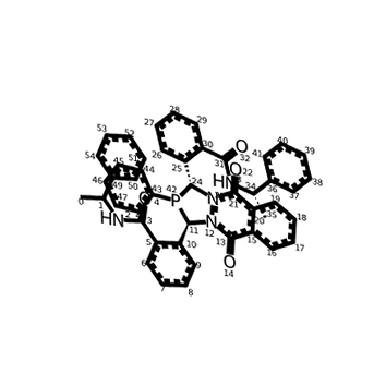 CC(NC(=O)c1ccccc1[C@@H]1n2c(=O)c3ccccc3c(=O)n2[C@@H](c2ccccc2C(=O)N[C@@H](C)c2ccccc2)P1c1ccccc1)c1ccccc1